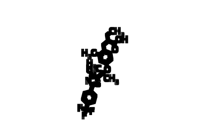 CCC(Cc1ccc(OC(C)(C)c2sc(-c3ccc(C(F)(F)F)cc3)nc2C)cc1C)C(=O)O